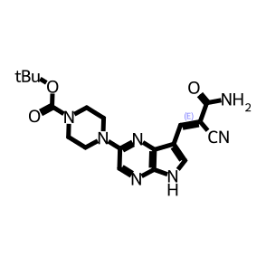 CC(C)(C)OC(=O)N1CCN(c2cnc3[nH]cc(/C=C(\C#N)C(N)=O)c3n2)CC1